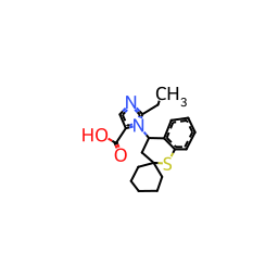 CCc1ncc(C(=O)O)n1C1CC2(CCCCC2)Sc2ccccc21